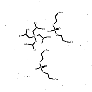 CCCCC(CC)[CH2][Ti-2]([CH2]C(CC)CCCC)([CH2]C(CC)CCCC)[CH2]C(CC)CCCC.CCCCCCCCCCCCOP(=O)(O)OCCCCCCCCCCCC.CCCCCCCCCCCCOP(=O)(O)OCCCCCCCCCCCC